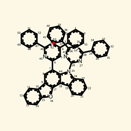 c1ccc(-c2cc(-c3cc4c5ccccc5oc4c4c5ccccc5n(-c5nc(-c6ccccc6)nc(-c6ccccc6)n5)c34)nc(-c3ccccc3)n2)cc1